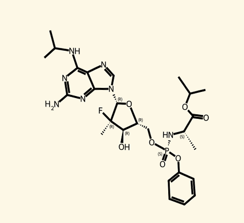 CC(C)Nc1nc(N)nc2c1ncn2[C@@H]1O[C@H](CO[P@@](=O)(N[C@@H](C)C(=O)OC(C)C)Oc2ccccc2)[C@@H](O)[C@@]1(C)F